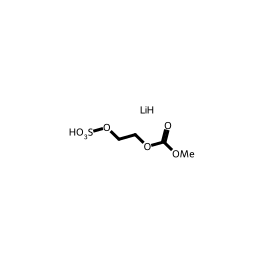 COC(=O)OCCOS(=O)(=O)O.[LiH]